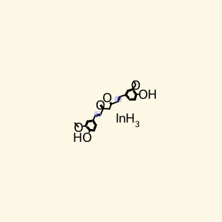 COc1cc(/C=C/C(=O)CC(=O)/C=C/c2ccc(O)c(OC)c2)ccc1O.[InH3]